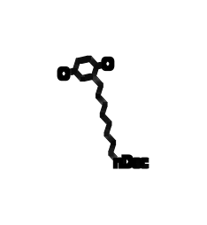 CCCCCCCCCCCCCCCCCCC1=CC(=O)C=CC1=O